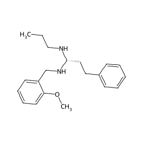 CCCN[C@H](CCc1ccccc1)NCc1ccccc1OC